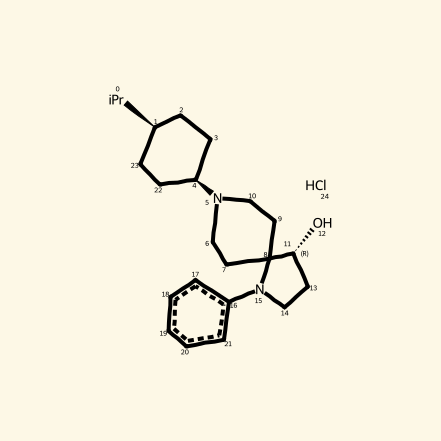 CC(C)[C@H]1CC[C@@H](N2CCC3(CC2)[C@H](O)CCN3c2ccccc2)CC1.Cl